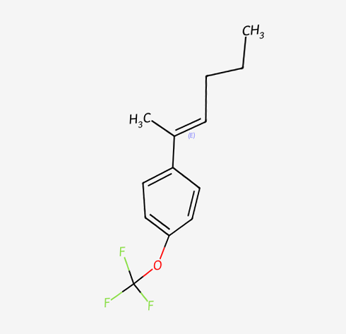 CCC/C=C(\C)c1ccc(OC(F)(F)F)cc1